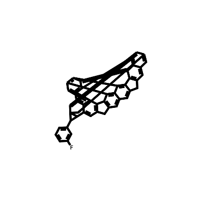 Fc1cccc(C2C3c4cc5c6c7c(cc8cc9c%10c%11c(cc%12cc%13c%14c(c%15c4c6c4c%15c6c%14c%12c%11c6c6c%10c8c7c46)C23C%13)C9)C5)c1